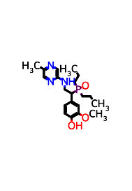 CCCP(=O)(CCC)C(CNc1cnc(C)cn1)c1ccc(O)c(OC)c1